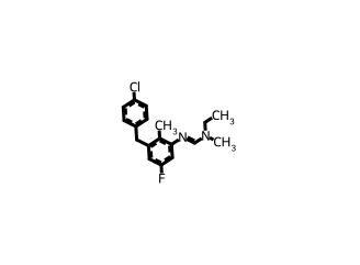 CCN(C)C=Nc1cc(F)cc(Cc2ccc(Cl)cc2)c1C